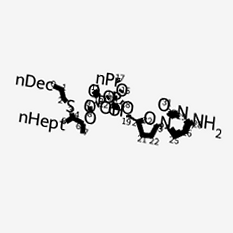 CCCCCCCCCCCCSC(CCCCCCC)C(C)OOP(=O)(O)OP(=O)(OCCC)OC[C@@H]1CC[C@H](n2ccc(N)nc2=O)O1